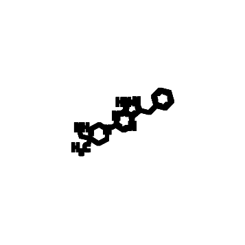 CC1(CN)CCN(c2cnc3c(Cc4ccccc4)n[nH]c3n2)CC1